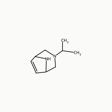 CC(C)N1CC2C=CC(C1)N2